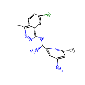 Cc1nnc(N[C@H](N)c2cc(N)cc(C(F)(F)F)n2)c2cc(Br)ccc12